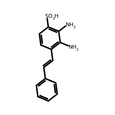 Nc1c(C=Cc2ccccc2)ccc(S(=O)(=O)O)c1N